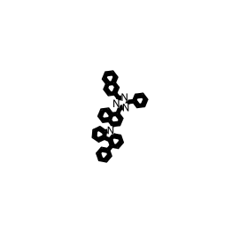 c1ccc(-c2nc(-c3ccc4ccccc4c3)nc(-c3ccc(-n4c5ccccc5c5c(-c6ccccc6)cccc54)c4ccccc34)n2)cc1